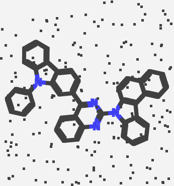 c1ccc(-n2c3ccccc3c3ccc(-c4nc(-n5c6ccccc6c6c7ccccc7ccc65)nc5ccccc45)cc32)cc1